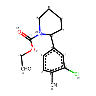 N#Cc1ccc(C2CCCCN2C(=O)OCC=O)cc1Cl